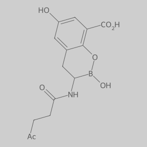 CC(=O)CCC(=O)NC1Cc2cc(O)cc(C(=O)O)c2OB1O